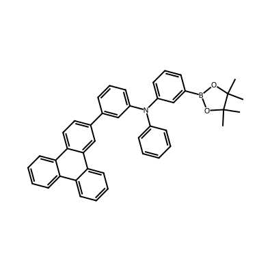 CC1(C)OB(c2cccc(N(c3ccccc3)c3cccc(-c4ccc5c6ccccc6c6ccccc6c5c4)c3)c2)OC1(C)C